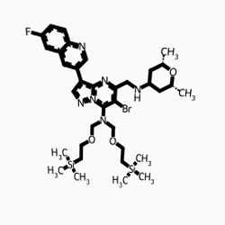 C[C@@H]1CC(NCc2nc3c(-c4cnc5ccc(F)cc5c4)cnn3c(N(COCC[Si](C)(C)C)COCC[Si](C)(C)C)c2Br)C[C@H](C)O1